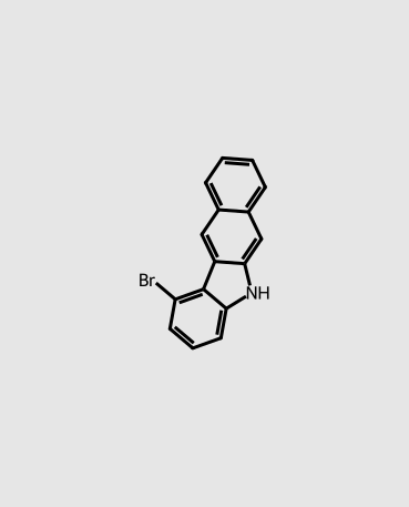 Brc1cccc2[nH]c3cc4ccccc4cc3c12